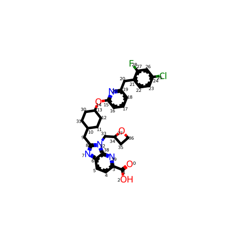 O=C(O)c1ccc2nc(CC3CCC(Oc4cccc(Cc5ccc(Cl)cc5F)n4)CC3)n(CC3CCO3)c2n1